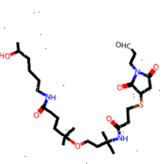 CC(O)CCCCNC(=O)CCC(C)(C)OCCC(C)(C)NC(=O)CCSC1CC(=O)N(CCC=O)C1=O